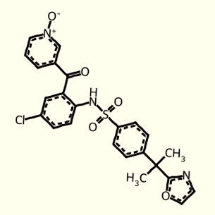 CC(C)(c1ccc(S(=O)(=O)Nc2ccc(Cl)cc2C(=O)c2ccc[n+]([O-])c2)cc1)c1ncco1